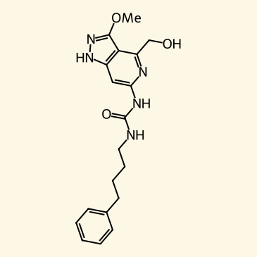 COc1n[nH]c2cc(NC(=O)NCCCCc3ccccc3)nc(CO)c12